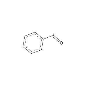 O=[C]c1[c]cccc1